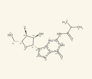 CC(C)C(=O)Nc1nc2c(ncn2[C@@H]2O[C@H](CO)[C@@H](F)[C@H]2O)c(=O)[nH]1